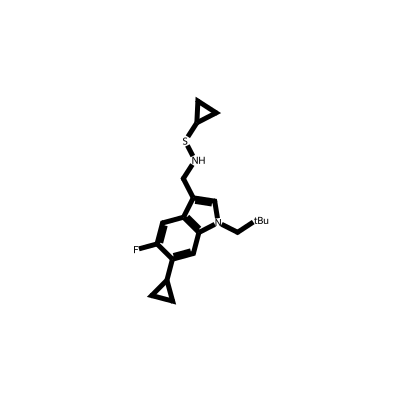 CC(C)(C)Cn1cc(CNSC2CC2)c2cc(F)c(C3CC3)cc21